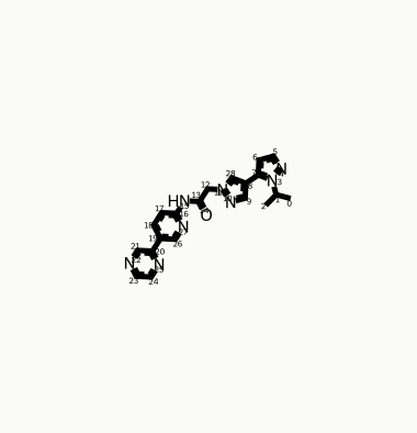 CC(C)n1nccc1-c1cnn(CC(=O)Nc2ccc(-c3cnccn3)cn2)c1